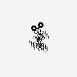 C[C@@H](O[Si](C)(C)C(C)(C)C)[C@@H]1C(=O)N2[C@@H]1[S+]([O-])C(C)(C)[C@@H]2C(=O)OC(c1ccccc1)c1ccccc1